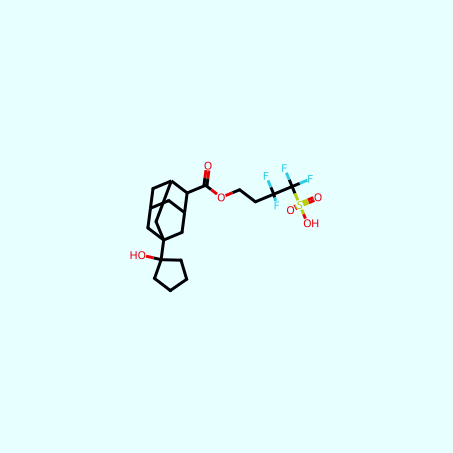 O=C(OCCC(F)(F)C(F)(F)S(=O)(=O)O)C1C2CC3CC1CC(C1(O)CCCC1)(C3)C2